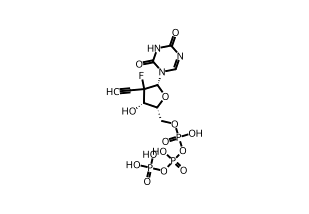 C#CC1(F)[C@@H](O)[C@@H](COP(=O)(O)OP(=O)(O)OP(=O)(O)O)O[C@H]1n1cnc(=O)[nH]c1=O